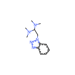 CN(C)C(Cn1nnc2ccccc21)N(C)C